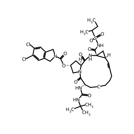 CCC(C)S(=O)(=O)NC(=O)[C@@]12C[C@H]1/C=C\CCCCC[C@H](NC(=O)NC(C)(C)C)C(=O)N1C[C@H](OC(=O)N3Cc4cc(Cl)c(Cl)cc4C3)C[C@H]1C(=O)N2